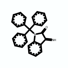 N=C1C(=O)N(C(c2ccccc2)(c2ccccc2)c2ccccc2)c2ccccc21